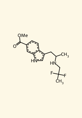 COC(=O)c1ccc2c(CC(C)NCC(C)(F)F)c[nH]c2c1